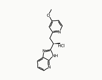 COc1ccnc(C[C@@H](C)c2nc3cccnc3[nH]2)c1.Cl